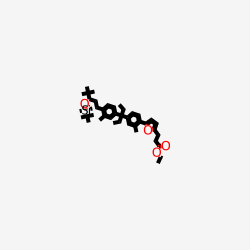 CCOC(=O)CCc1ccc(-c2ccc(C(CC)(CC)c3ccc(CCC(O[Si](C)(C)C(C)(C)C)C(C)(C)C)c(C)c3)cc2C)o1